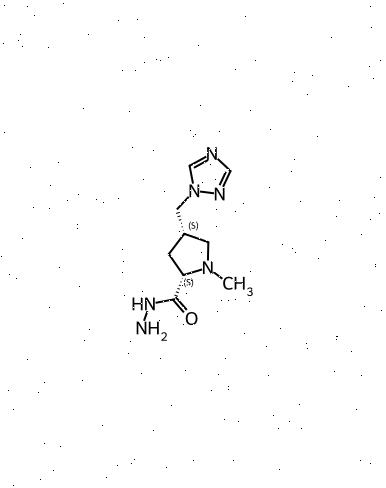 CN1C[C@@H](Cn2cncn2)C[C@H]1C(=O)NN